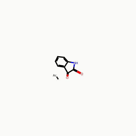 CC(C)=O.O=C1Nc2ccccc2C1=O